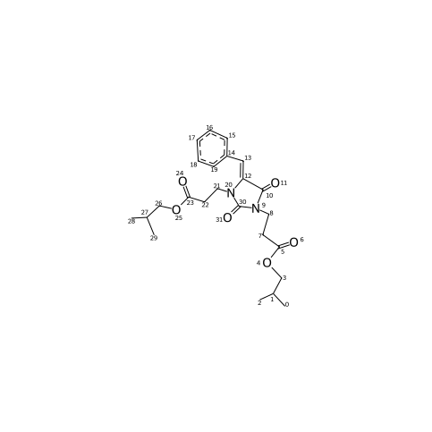 CC(C)COC(=O)CCN1C(=O)C(=Cc2ccccc2)N(CCC(=O)OCC(C)C)C1=O